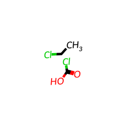 CCCl.O=C(O)Cl